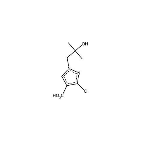 CC(C)(O)Cn1cc(C(=O)O)c(Cl)n1